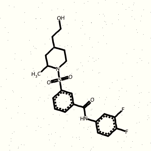 CC1CC(CCO)CCN1S(=O)(=O)c1cccc(C(=O)Nc2ccc(F)c(F)c2)c1